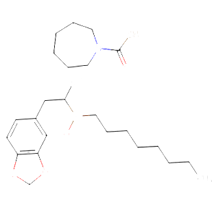 CCCCCCCC[S+]([O-])C(C)Cc1ccc2c(c1)OCO2.O=C(S)N1CCCCCC1